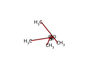 CCCCCCCCCCCCCCCCCCCCCCCCCCCCC(C(=O)CCCCCCCCCC)C(=O)OOC(=O)C(CCCCCCCCCCCCCCCCCCCCCCCCCCCC)C(=O)CCCCCCCCCC